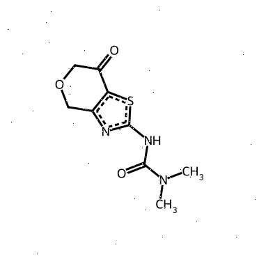 CN(C)C(=O)Nc1nc2c(s1)C(=O)COC2